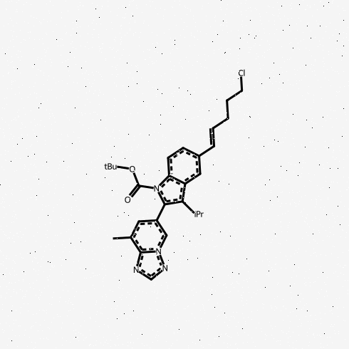 Cc1cc(-c2c(C(C)C)c3cc(/C=C/CCCCl)ccc3n2C(=O)OC(C)(C)C)cn2ncnc12